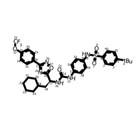 CC(C)(C)c1ccc(S(=O)(=O)Nc2ccc(NC(=O)N[C@@H](CC3CCCCC3)c3nc(-c4ccc(OC(F)(F)F)cc4)no3)cc2)cc1